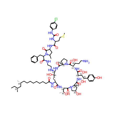 CC[C@H](C)C[C@H](C)CCCCCCCCC(=O)NC1C[C@@H](O)[C@@H](NCCNC(=O)C(Cc2ccccc2)N2C(=O)C(NC(=O)C(CCSC)NC(=O)Nc3ccc(Cl)cc3)CC2C)NC(=O)[C@@H]2CCCN2C(=O)[C@H]([C@H](O)CCN)NC(=O)[C@H]([C@H](O)[C@@H](O)c2ccc(O)cc2)NC(=O)[C@@H]2C[C@@H](O)CN2C(=O)[C@H]([C@@H](C)O)NC1=O